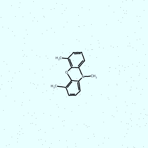 Cc1cccc2c1Oc1c(C)cccc1N2C